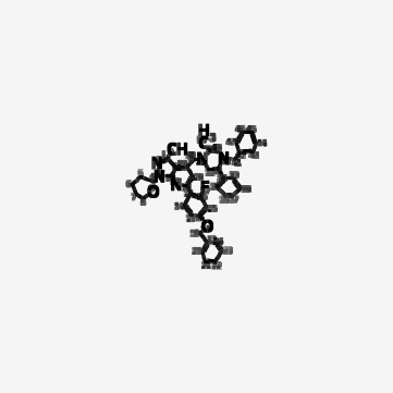 Cc1nn(C2CCCCO2)c2nc(-c3ccc(OCc4ccccc4)cc3F)cc(CN3CC(c4ccccc4)N(Cc4ccccc4)CC3C)c12